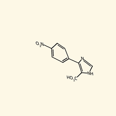 O=C(O)c1[nH]cnc1-c1ccc([N+](=O)[O-])cc1